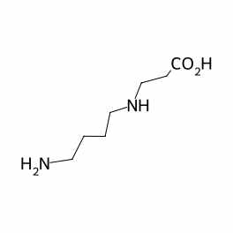 NCCCCNCCC(=O)O